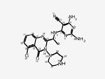 CC(Nc1nc(N)nc(N)c1C#N)c1nc2cccc(Cl)c2c(=O)n1N1CCNCC1